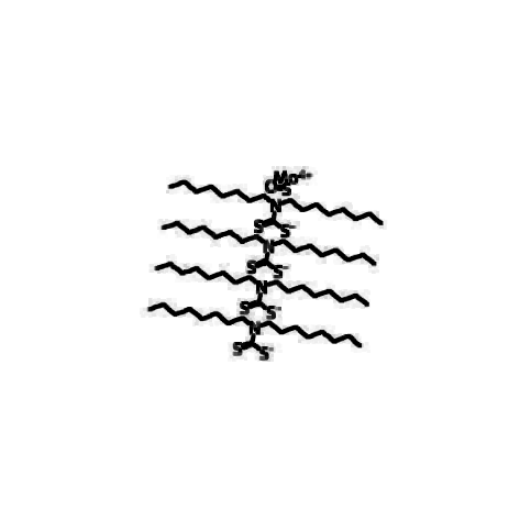 CCCCCCCCN(CCCCCCCC)C(=S)[S-].CCCCCCCCN(CCCCCCCC)C(=S)[S-].CCCCCCCCN(CCCCCCCC)C(=S)[S-].CCCCCCCCN(CCCCCCCC)C(=S)[S-].O=S.[Mo+4]